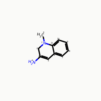 CN1CC(N)=Cc2ccccc21